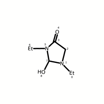 CCN1CC(=O)N(CC)C1O